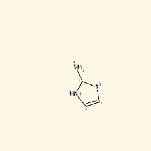 NC1NC=CS1